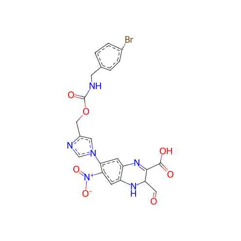 O=CC1Nc2cc([N+](=O)[O-])c(-n3cnc(COC(=O)NCc4ccc(Br)cc4)c3)cc2N=C1C(=O)O